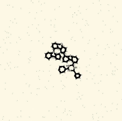 c1ccc(C2NC(c3ccccc3)NC(c3cccc4sc5c(-c6ccc7oc8cccc(-n9c%10ccccc%10c%10ccccc%109)c8c7c6)cccc5c34)N2)cc1